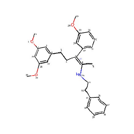 COc1cc(CC/C(=C(/C)NCCc2ccccc2)c2cccc(OC)c2)cc(OC)c1